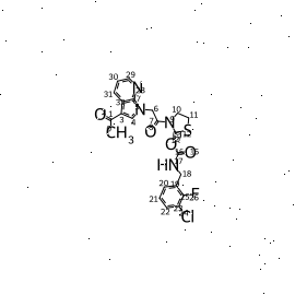 CC(=O)c1cn(CC(=O)N2CCS[C@@H]2OC(=O)NCc2cccc(Cl)c2F)c2ncccc12